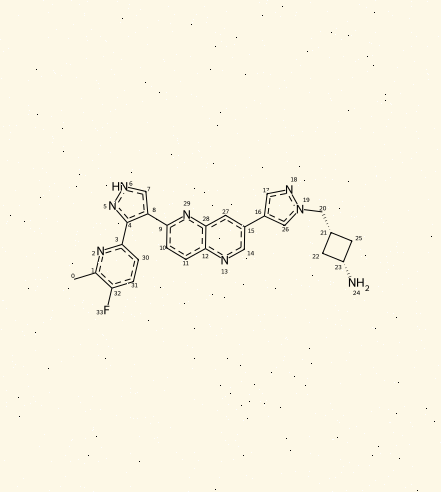 Cc1nc(-c2n[nH]cc2-c2ccc3ncc(-c4cnn(C[C@H]5C[C@@H](N)C5)c4)cc3n2)ccc1F